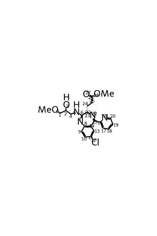 COCC(O)CNC1=Nc2ccc(Cl)cc2C(c2ccccn2)=N[C@H]1CCC(=O)OC